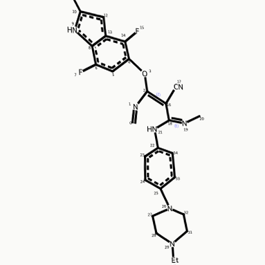 C=N/C(Oc1cc(F)c2[nH]c(C)cc2c1F)=C(C#N)\C(=N/C)Nc1ccc(N2CCN(CC)CC2)cc1